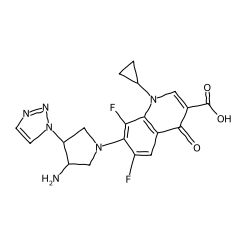 NC1CN(c2c(F)cc3c(=O)c(C(=O)O)cn(C4CC4)c3c2F)CC1n1ccnn1